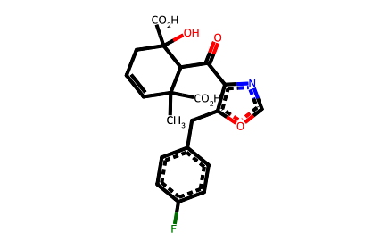 CC1(C(=O)O)C=CCC(O)(C(=O)O)C1C(=O)c1ncoc1Cc1ccc(F)cc1